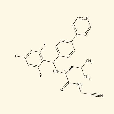 CC(C)C[C@H](NC(c1ccc(-c2ccncc2)cc1)c1c(F)cc(F)cc1F)C(=O)NCC#N